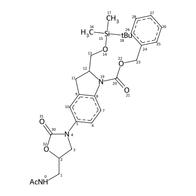 CC(=O)NCC1CN(c2ccc3c(c2)CC(CO[Si](C)(C)C(C)(C)C)N3C(=O)OCc2ccccc2)C(=O)O1